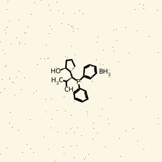 B.CC(C)[C@@H]([C@H]1CCC[C@@H]1O)P(c1ccccc1)c1ccccc1